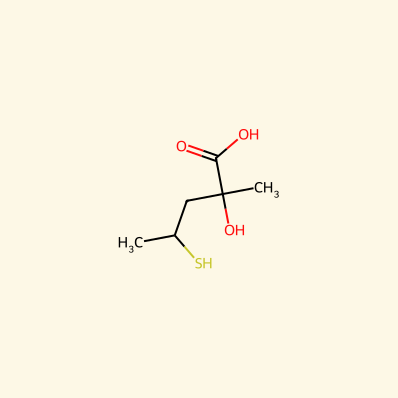 CC(S)CC(C)(O)C(=O)O